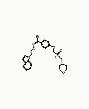 CCC(=NOCCn1ccc2ccccc21)c1ccc(OCC(=O)NCC2CCOCC2)cc1